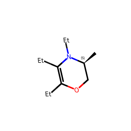 CCC1=C(CC)N(CC)[C@@H](C)CO1